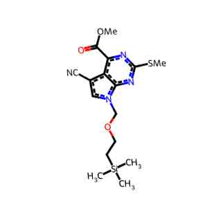 COC(=O)c1nc(SC)nc2c1c(C#N)cn2COCC[Si](C)(C)C